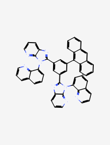 c1ccc2c(-c3cc(-c4nc5cccnc5n4-c4cccc5cccnc45)cc(-c4nc5cccnc5n4-c4cccc5cccnc45)c3)c3ccccc3cc2c1